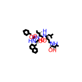 CC[C@H](C)[C@H](NC(=O)[C@H](Cc1cccc2ccccc12)NC(=O)OCc1ccccc1)C(=O)N[C@@H](CC(C)C)[C@@H](O)CCN[C@H](CO)[C@@H](C)CC